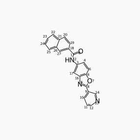 O=C(Nc1ccc2oc(-c3cccnc3)nc2c1)c1ccc2ccccc2c1